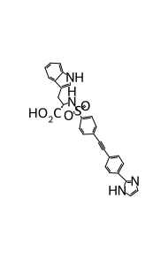 O=C(O)[C@@H](Cc1c[nH]c2ccccc12)NS(=O)(=O)c1ccc(C#Cc2ccc(-c3ncc[nH]3)cc2)cc1